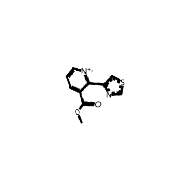 COC(=O)C1=CC=C[N+]C1c1cscn1